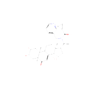 CC([C@H]1CC[C@@]2(O)C3=CC(=O)[C@@H]4C[C@@H](O)[C@@H](O)C[C@]4(C)C3CC[C@]12C)N(Cc1cccnc1)C(=O)C1CC1